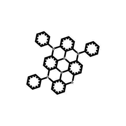 c1ccc(N2c3cccc4c3B3c5c2ccc2c5B5c6c(cccc6N(c6ccccc6)c6ccc(c3c65)N4c3ccccc3)S2)cc1